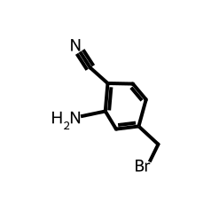 N#Cc1ccc(CBr)cc1N